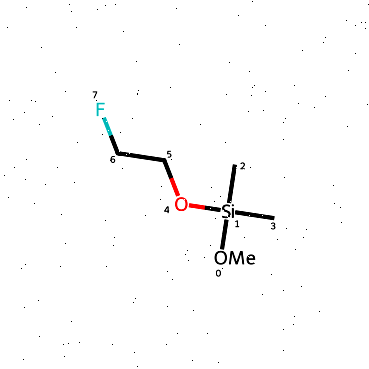 CO[Si](C)(C)OCCF